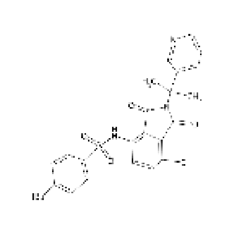 CC(C)(C)c1ccc(S(=O)(=O)Nc2ccc(Cl)c3c2C(=O)N(C(C)(C)c2cccnc2)C3=O)cc1